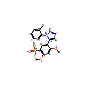 COc1cc(OC)c(S(=O)(=O)Cl)cc1-c1ccnn1-c1ccccc1C